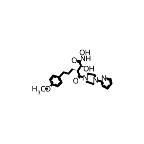 COc1ccc(CCC[C@@H](C(=O)N2CCN(c3ccccn3)CC2)[C@H](O)C(=O)NO)cc1